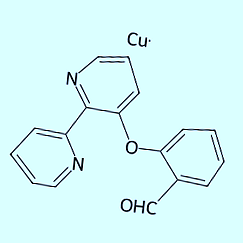 O=Cc1ccccc1Oc1cccnc1-c1ccccn1.[Cu]